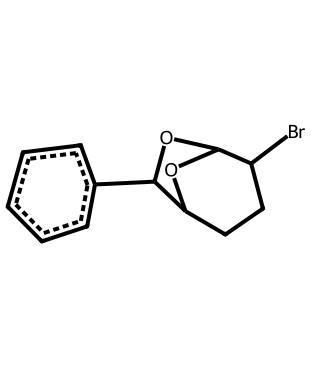 BrC1CCC2OC1OC2c1ccccc1